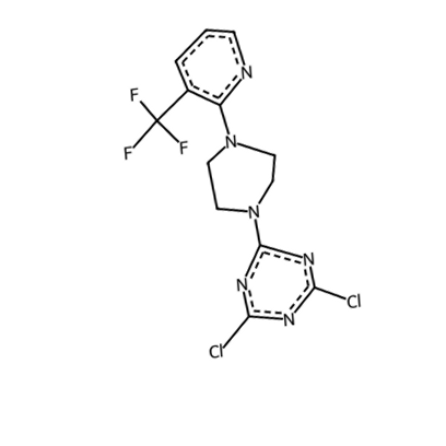 FC(F)(F)c1cccnc1N1CCN(c2nc(Cl)nc(Cl)n2)CC1